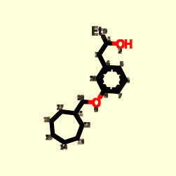 CCC(O)Cc1cccc(OCC2CCCCCC2)c1